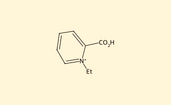 CC[n+]1ccccc1C(=O)O